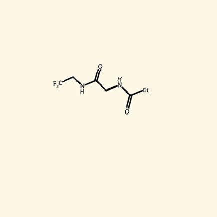 CCC(=O)NCC(=O)NCC(F)(F)F